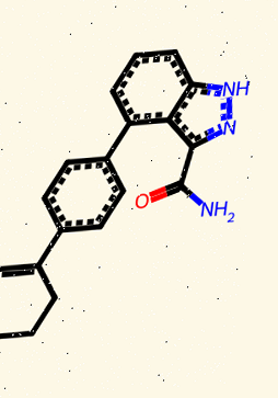 NC(=O)c1n[nH]c2cccc(-c3ccc(C4=CCCCC4)cc3)c12